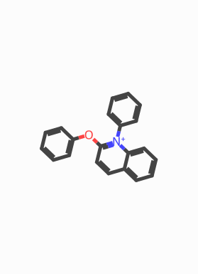 c1ccc(Oc2ccc3ccccc3[n+]2-c2ccccc2)cc1